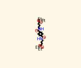 CCOC(CCCNC(=O)c1ccc(C(=O)NCCCC(OCC)OCC)cc1)OCC